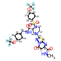 CNC(=O)c1cc(=O)n2nc(N3CCN(S(=O)(=O)c4ccc(OC(F)(F)F)cc4)[C@@H](C(=O)NCc4ccc(OC(F)(F)F)cc4)C3)sc2n1